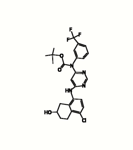 CC(C)(C)OC(=O)N(c1cccc(C(F)(F)F)c1)c1cc(Nc2ccc(Cl)c3c2CC(O)CC3)ncn1